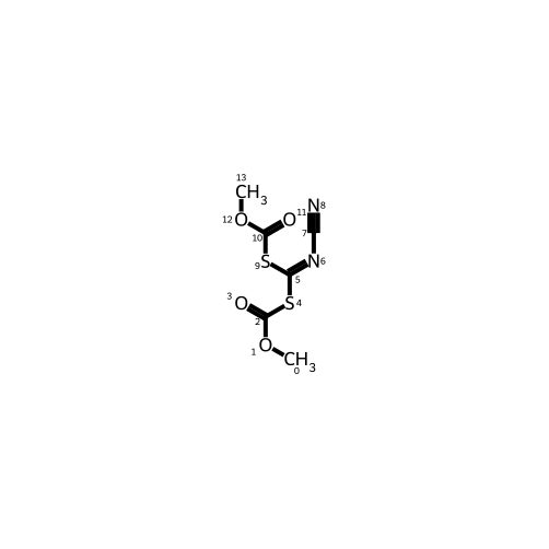 COC(=O)SC(=NC#N)SC(=O)OC